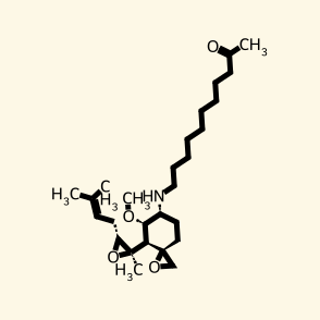 CO[C@@H]1[C@H](NCCCCCCCCCC(C)=O)CC[C@]2(CO2)[C@H]1[C@@]1(C)O[C@@H]1CC=C(C)C